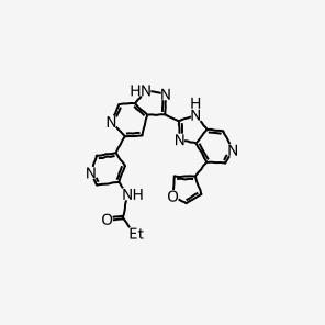 CCC(=O)Nc1cncc(-c2cc3c(-c4nc5c(-c6ccoc6)cncc5[nH]4)n[nH]c3cn2)c1